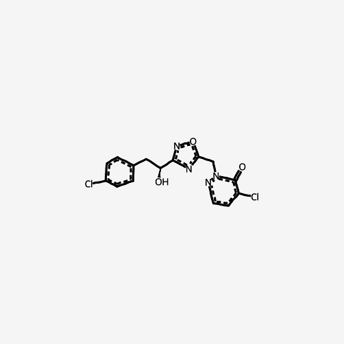 O=c1c(Cl)ccnn1Cc1nc([C@@H](O)Cc2ccc(Cl)cc2)no1